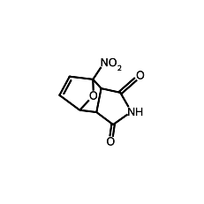 O=C1NC(=O)C2C1C1C=CC2([N+](=O)[O-])O1